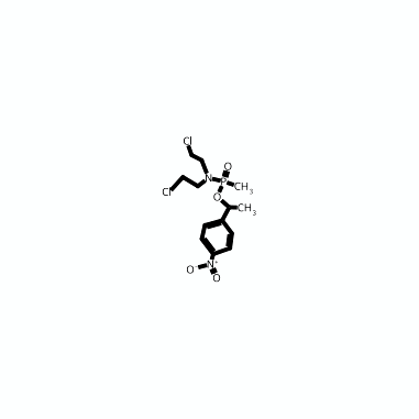 CC(OP(C)(=O)N(CCCl)CCCl)c1ccc([N+](=O)[O-])cc1